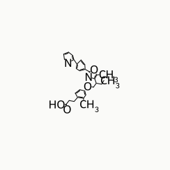 CCC(COc1ccc(CCC(=O)O)c(C)c1)c1nc(-c2ccc(-c3ccccn3)cc2)oc1C